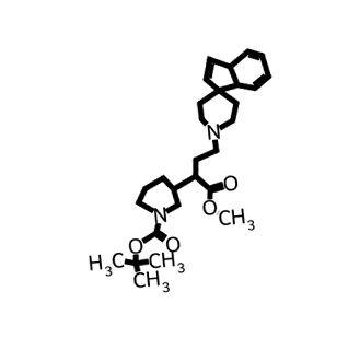 COC(=O)C(CCN1CCC2(C=CC3C=CC=CC32)CC1)C1CCCN(C(=O)OC(C)(C)C)C1